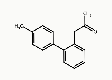 CC(=O)Cc1ccccc1-c1ccc(C)cc1